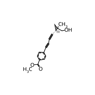 COC(=O)c1ccc(C#CC#C[C@@H]2C[C@@]2(C)CO)cc1